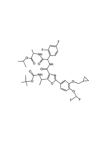 CC(C)OC(=O)C(C)NC(=O)C(NC(=O)c1nc(-c2ccc(OC(F)F)c(OCC3CC3)c2)oc1C(C)NC(=O)OC(C)(C)C)c1ccc(F)cc1F